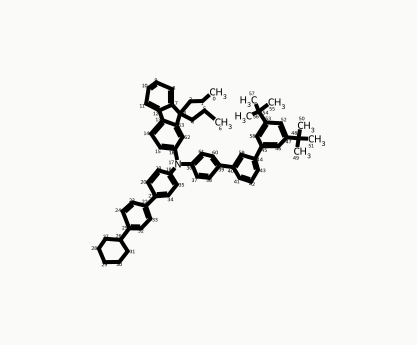 CCCC1(CCC)c2ccccc2-c2ccc(N(c3ccc(-c4ccc(C5CCCCC5)cc4)cc3)c3ccc(-c4cccc(-c5cc(C(C)(C)C)cc(C(C)(C)C)c5)c4)cc3)cc21